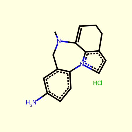 CN1Cc2cc(N)ccc2-n2ccc3c2C1=CCC3.Cl